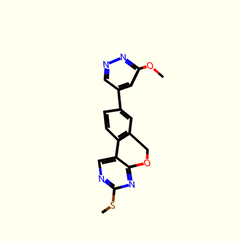 COc1cc(-c2ccc3c(c2)COc2nc(SC)ncc2-3)cnn1